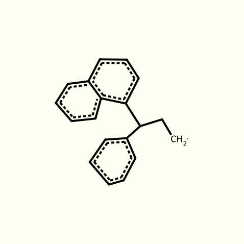 [CH2]CC(c1ccccc1)c1cccc2ccccc12